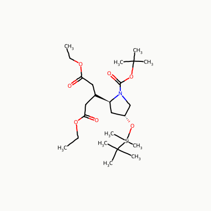 CCOC(=O)CC(CC(=O)OCC)[C@@H]1C[C@@H](O[Si](C)(C)C(C)(C)C)CN1C(=O)OC(C)(C)C